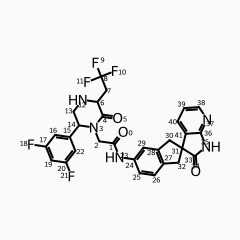 O=C(CN1C(=O)C(CC(F)(F)F)NCC1c1cc(F)cc(F)c1)Nc1ccc2c(c1)CC1(C2)C(=O)Nc2ncccc21